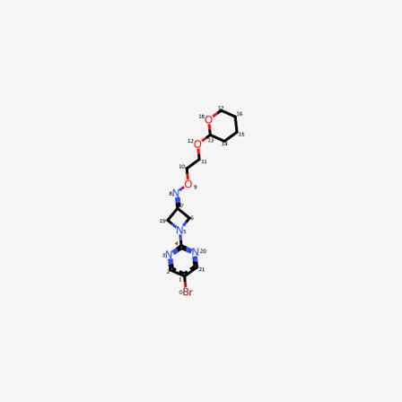 Brc1cnc(N2CC(=NOCCOC3CCCCO3)C2)nc1